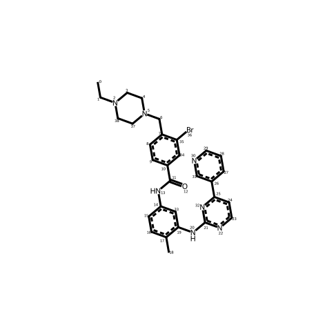 CCN1CCN(Cc2ccc(C(=O)Nc3ccc(C)c(Nc4nccc(-c5cccnc5)n4)c3)cc2Br)CC1